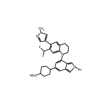 CSC1CCC(c2cc(N3CCCc4cc(-c5cnn(C)c5)c(C(F)F)cc43)c3cn(C(C)=O)cc3c2)CC1